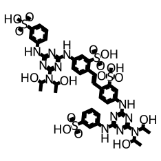 CC(O)N(c1nc(Nc2cccc(S(=O)(=O)O)c2)nc(Nc2ccc(C=Cc3ccc(Nc4nc(Nc5cccc(S(=O)(=O)O)c5)nc(N(C(C)O)C(C)O)n4)cc3S(=O)(=O)O)c(S(=O)(=O)O)c2)n1)C(C)O